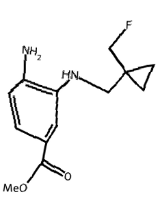 COC(=O)c1ccc(N)c(NCC2(CF)CC2)c1